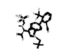 CN(CS(N)(=O)=O)[C@@H](c1cn(CC(C)(C)C)c2cc(-c3c(C#N)cccc3C(F)(F)F)ccc12)C(F)F